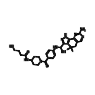 CC1(C)Cc2cnc(N)nc2-c2[nH]nc(C(O)Nc3ccc(C(=O)N4CCC(NC(=O)CCCO)CC4)cc3)c21